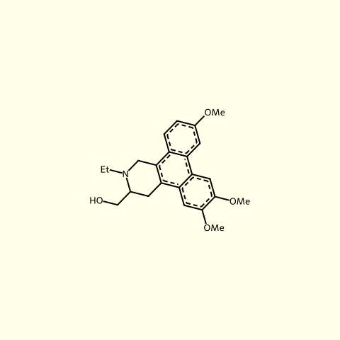 CCN1Cc2c(c3cc(OC)c(OC)cc3c3cc(OC)ccc23)CC1CO